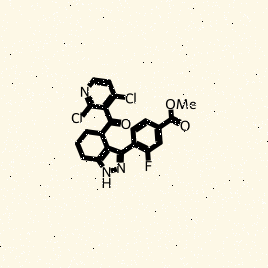 COC(=O)c1ccc(-c2n[nH]c3c2C(C(=O)c2c(Cl)ccnc2Cl)CCC3)c(F)c1